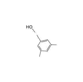 CO.Cc1cc(C)cc(C)c1